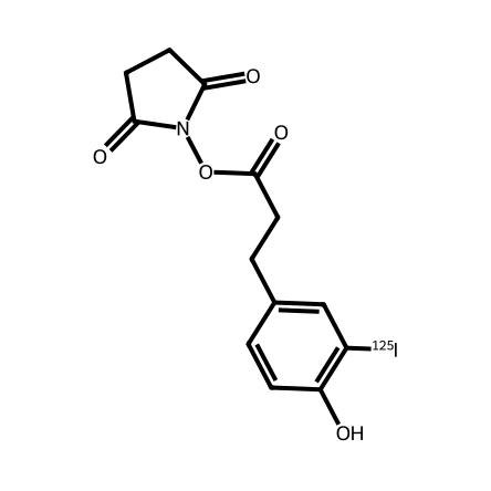 O=C(CCc1ccc(O)c([125I])c1)ON1C(=O)CCC1=O